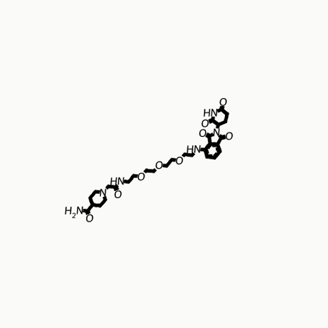 NC(=O)C1CCN(CC(=O)NCCOCCOCCOCCNc2cccc3c2C(=O)N(C2CCC(=O)NC2=O)C3=O)CC1